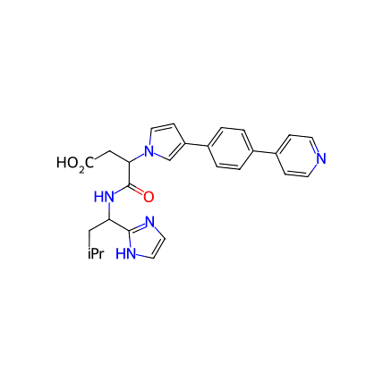 CC(C)CC(NC(=O)C(CC(=O)O)n1ccc(-c2ccc(-c3ccncc3)cc2)c1)c1ncc[nH]1